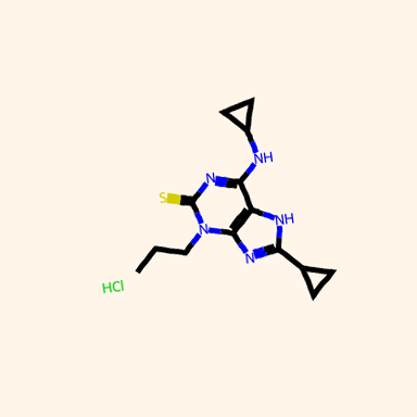 CCCn1c(=S)nc(NC2CC2)c2[nH]c(C3CC3)nc21.Cl